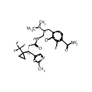 Cc1ncc([C@@H](CC(=O)NC[C@H](Cc2ccc(C(N)=O)c(F)c2Cl)N(C)C)C2(C(F)(F)F)CC2)s1